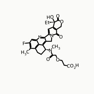 CC[C@@]1(O)C(=O)OCc2c1cc1n(c2=O)Cc2c-1nc1cc(F)c(C)c3c1c2[C@@H](N(C)C(=O)COCCC(=O)O)CC3